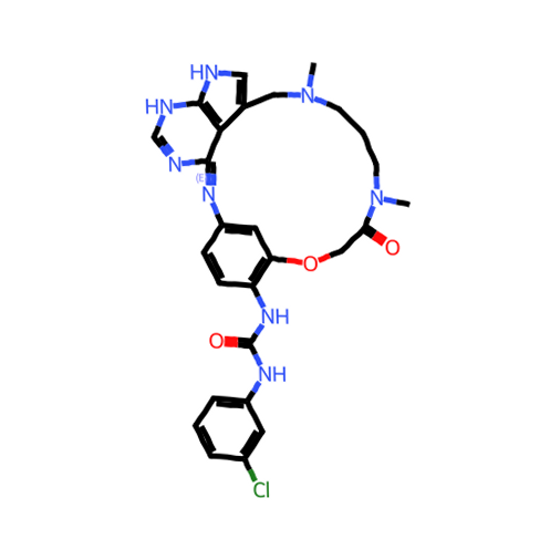 CN1CCCN(C)C(=O)COc2cc(ccc2NC(=O)Nc2cccc(Cl)c2)/N=C2/N=CNc3[nH]cc(c32)C1